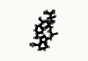 C[C@@H](Cn1cnc2c(N)ncnc21)OCP(=O)(N[C@H](C)c1ccc(Cl)cc1)NC(C)(C)C(=O)O